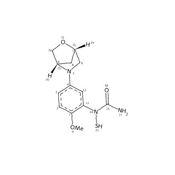 COc1ccc(N2C[C@@H]3C[C@H]2CO3)cc1N(S)C(N)=O